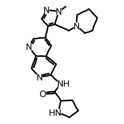 Cn1ncc(-c2cnc3cnc(NC(=O)C4CCCN4)cc3c2)c1CN1CCCCC1